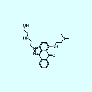 CN(C)CCNc1ccc2c3c(nn2CCNCCO)-c2ccccc2C(=O)c13